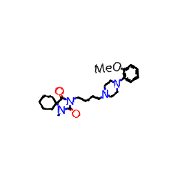 COc1ccccc1N1CCN(CCCCN2C(=O)N(C)C3(CCCCC3)C2=O)CC1